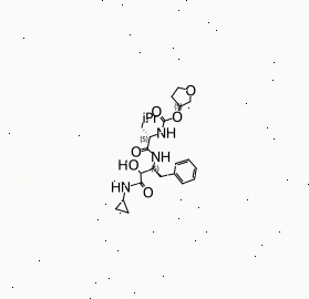 CC(C)C[C@H](NC(=O)O[C@H]1CCOC1)C(=O)N[C@@H](Cc1ccccc1)C(O)C(=O)NC1CC1